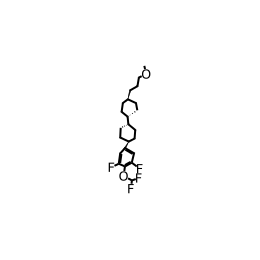 COCCC[C@H]1CC[C@H]([C@H]2CC[C@H](c3cc(F)c(OC(F)F)c(F)c3)CC2)CC1